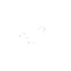 O=P(O)(O)N=C1CC=CC(O)=C1CCCCc1ccc(O)cc1